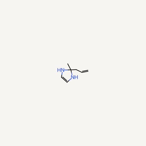 C=CCC1(C)NC=CN1